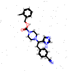 Cc1ccccc1COC(=O)N1CCN(C(Cc2ccc(C#N)cc2)c2cnc[nH]2)CC1